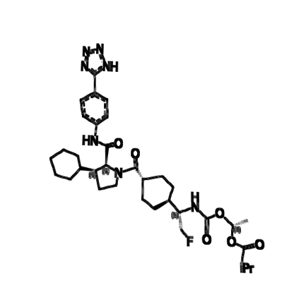 CC(C)C(=O)O[C@@H](C)OC(=O)N[C@H](CF)[C@H]1CC[C@H](C(=O)N2CC[C@@H](C3CCCCC3)[C@H]2C(=O)Nc2ccc(-c3nnn[nH]3)cc2)CC1